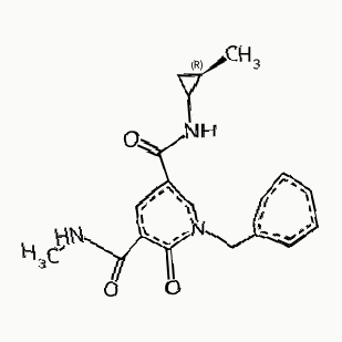 CNC(=O)c1cc(C(=O)NC2C[C@H]2C)cn(Cc2ccccc2)c1=O